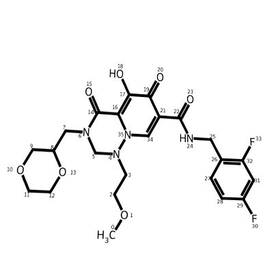 COCCN1CN(CC2COCCO2)C(=O)c2c(O)c(=O)c(C(=O)NCc3ccc(F)cc3F)cn21